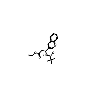 CCOC(=O)C[C@H](N[S@@+]([O-])C(C)(C)C)c1cnc2ccccc2c1